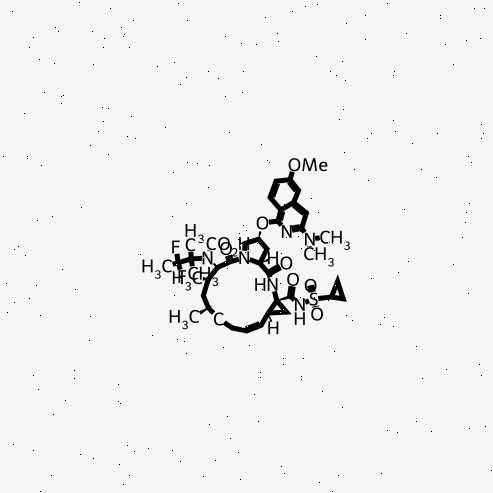 COc1ccc2c(O[C@@H]3C[C@H]4C(=O)N[C@]5(C(=O)NS(=O)(=O)C6CC6)C[C@H]5C=CCC[C@@H](C)C[C@@H](C)[C@H](N(C(=O)O)C(C)(C)C(C)(F)F)C(=O)N4C3)nc(N(C)C)cc2c1